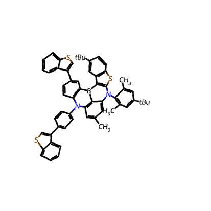 Cc1cc2c3c(c1)N(c1c(C)cc(C(C)(C)C)cc1C)c1sc4ccc(C(C)(C)C)cc4c1B3c1cc(-c3csc4ccccc34)ccc1N2c1ccc(-c2csc3ccccc23)cc1